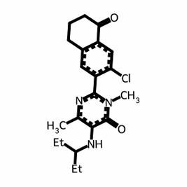 CCC(CC)Nc1c(C)nc(-c2cc3c(cc2Cl)C(=O)CCC3)n(C)c1=O